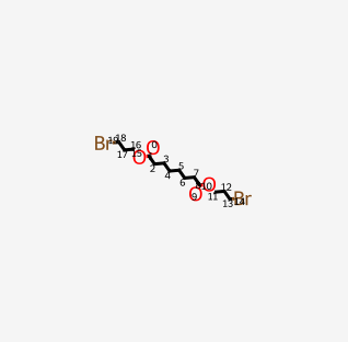 O=C(CCCCCCC(=O)OCCCBr)OCCCBr